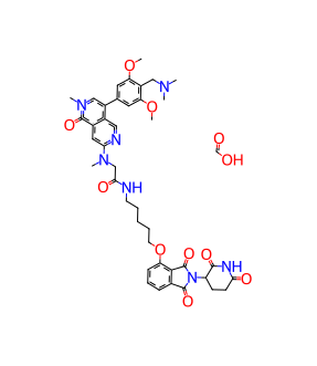 COc1cc(-c2cn(C)c(=O)c3cc(N(C)CC(=O)NCCCCCOc4cccc5c4C(=O)N(C4CCC(=O)NC4=O)C5=O)ncc23)cc(OC)c1CN(C)C.O=CO